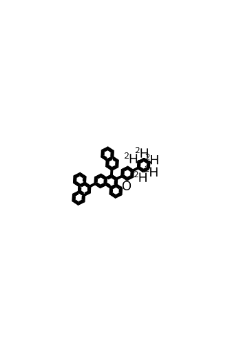 [2H]c1c([2H])c([2H])c(-c2ccc3c(c2)Oc2cccc4c2c-3c(-c2ccc3ccccc3c2)c2ccc(-c3cc5ccccc5c5ccccc35)cc24)c([2H])c1[2H]